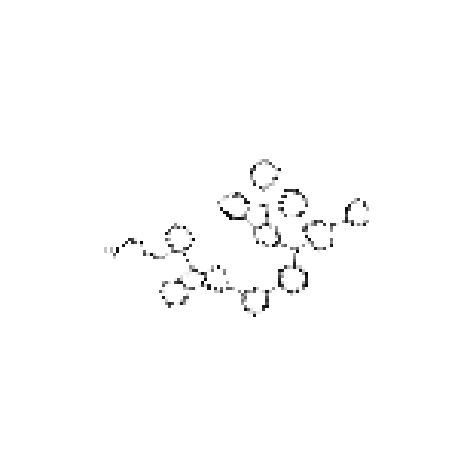 C/C=C\C=C/c1ccccc1-n1c2ccccc2c2cc(-c3cccc(-c4cccc(N(c5ccc(-c6ccccc6)cc5)c5ccc6c(c5)C(c5ccccc5)(c5ccccc5)c5ccccc5-6)c4)c3)ccc21